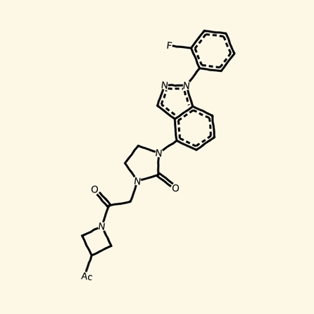 CC(=O)C1CN(C(=O)CN2CCN(c3cccc4c3cnn4-c3ccccc3F)C2=O)C1